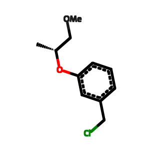 COC[C@@H](C)Oc1cccc(CCl)c1